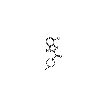 CN1CCN(C(=O)c2nc3c(Cl)cccc3[nH]2)CC1